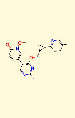 COn1cc(-c2cnc(C)nc2OCC2CC2c2ccc(C)cn2)ccc1=O